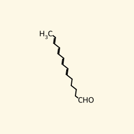 CC=CC=CC=CC=CCCCCC=O